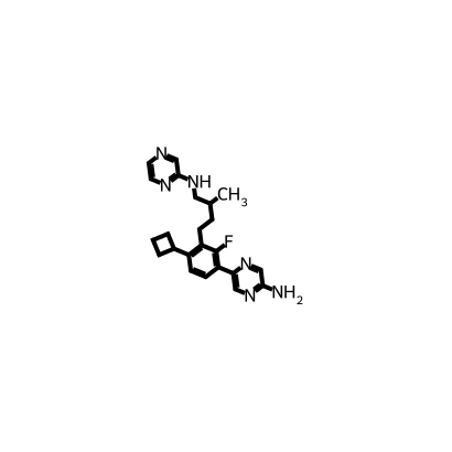 CC(CCc1c(C2CCC2)ccc(-c2cnc(N)cn2)c1F)CNc1cnccn1